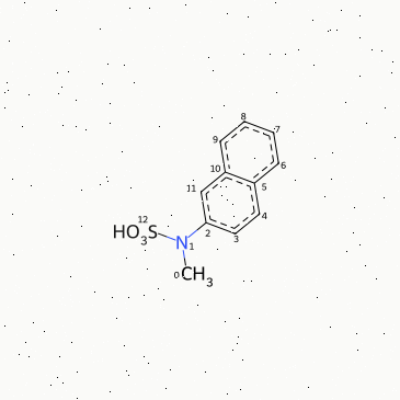 CN(c1ccc2ccccc2c1)S(=O)(=O)O